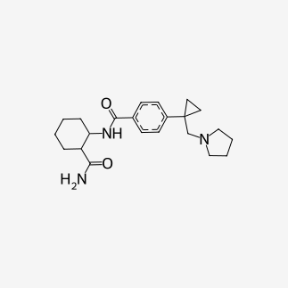 NC(=O)C1CCCCC1NC(=O)c1ccc(C2(CN3CCCC3)CC2)cc1